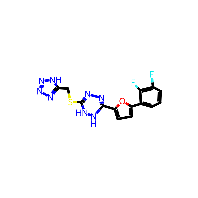 Fc1cccc(-c2ccc(C3=NN=C(SCc4nnn[nH]4)NN3)o2)c1F